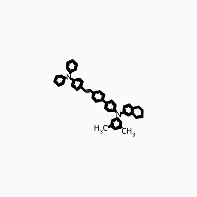 Cc1cc(C)cc(N(c2ccc(-c3ccc(/C=C/c4ccc(N(c5ccccc5)c5ccccc5)cc4)cc3)cc2)c2ccc3c(c2)C=CCC3)c1